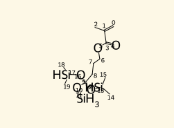 C=C(C)C(=O)OCCCC(O[SiH3])(O[SiH](C)C)O[SiH](C)C